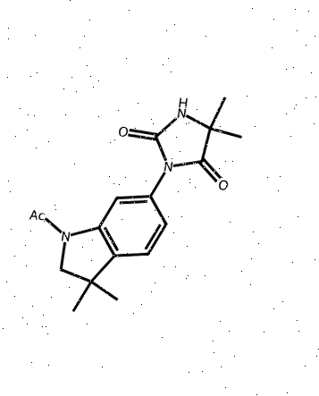 CC(=O)N1CC(C)(C)c2ccc(N3C(=O)NC(C)(C)C3=O)cc21